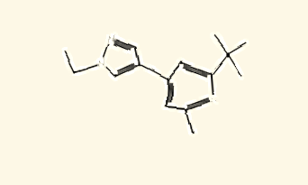 CCn1cc(-c2cc(C)nc(C(C)(C)C)c2)cn1